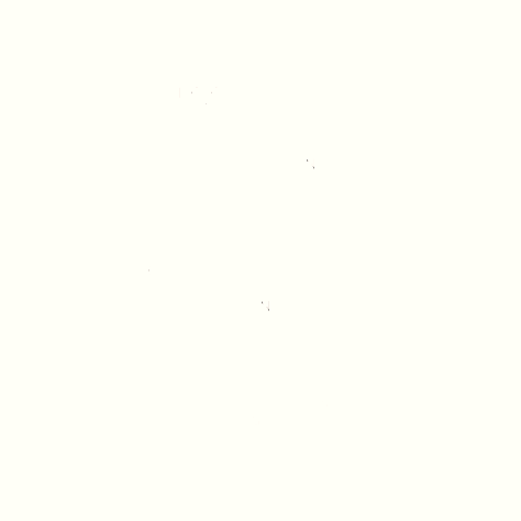 Cc1ccsc1C(=NOCCN1CCCC(C(=O)O)C1)c1cccs1.Cl